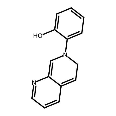 Oc1ccccc1N1C=c2ncccc2=CC1